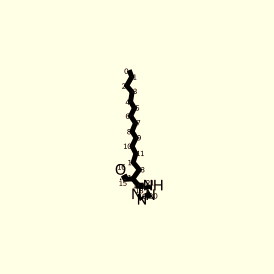 CCCCCCCCCCCCCCC([C]=O)c1nnn[nH]1